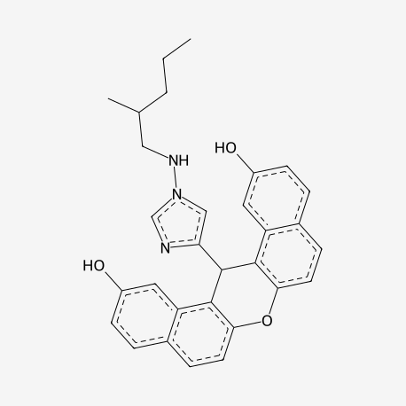 CCCC(C)CNn1cnc(C2c3c(ccc4ccc(O)cc34)Oc3ccc4ccc(O)cc4c32)c1